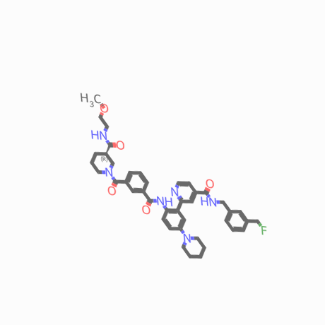 COCCNC(=O)[C@@H]1CCCN(C(=O)c2cccc(C(=O)Nc3ccc(N4CCCCC4)cc3-c3cc(C(=O)NCc4cccc(CF)c4)ccn3)c2)C1